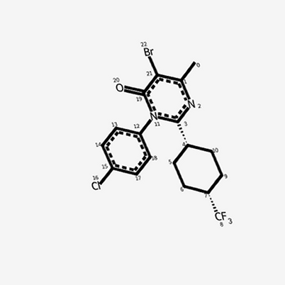 Cc1nc([C@H]2CC[C@@H](C(F)(F)F)CC2)n(-c2ccc(Cl)cc2)c(=O)c1Br